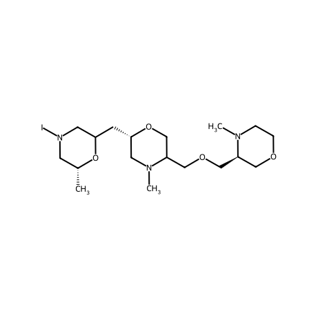 C[C@@H]1CN(I)CC(C[C@H]2CN(C)C(COC[C@@H]3COCCN3C)CO2)O1